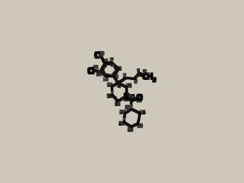 C=CCCC1(c2ccc(Cl)c(Cl)c2)CCCN(C(=O)C2CCCCC2)C1